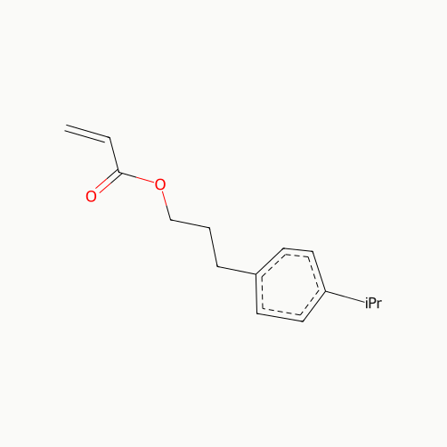 C=CC(=O)OCCCc1ccc(C(C)C)cc1